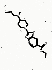 CCCN(C)C1CCN(c2nc3ccc(C(=O)OCC)cc3s2)CC1